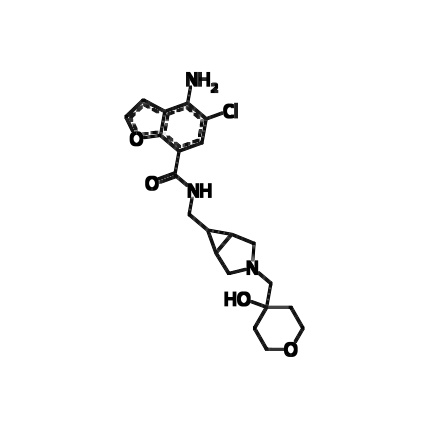 Nc1c(Cl)cc(C(=O)NCC2C3CN(CC4(O)CCOCC4)CC23)c2occc12